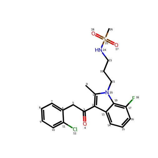 Cc1c(C(=O)Cc2ccccc2Cl)c2cccc(F)c2n1CCCNS(C)(=O)=O